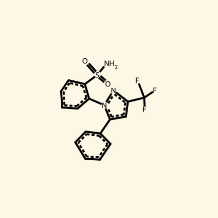 NS(=O)(=O)c1ccccc1-n1nc(C(F)(F)F)cc1-c1ccccc1